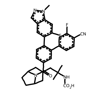 Cn1ncc2cc(-c3ccc(C(=O)N4C5CCC4CC(CC(C)(C)NC(=O)O)C5)cc3-c3ccc(C#N)c(F)c3)c(F)cc21